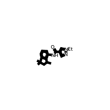 CCn1cc(C(=O)Nc2cccc3c2C(C)CC3(C)C)cn1